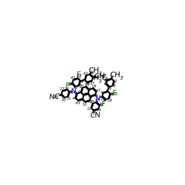 Cc1ccc(-c2cc(N(c3ccc(C#N)cc3)c3ccc4ccc5c(N(c6ccc(C#N)cc6)c6cc(-c7ccc(C)c(C)c7)c(F)cc6F)ccc6ccc3c4c65)c(F)cc2F)cc1C